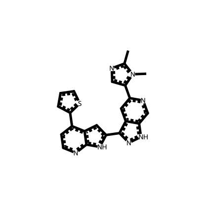 Cc1ncc(-c2cc3c(-c4cc5c(-c6cccs6)ccnc5[nH]4)n[nH]c3cn2)n1C